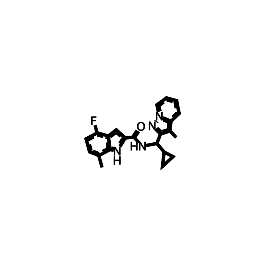 Cc1ccc(F)c2cc(C(=O)NC(c3nn4ccccc4c3C)C3CC3)[nH]c12